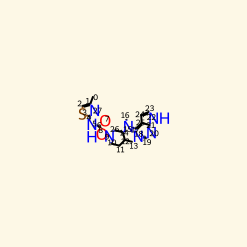 Cc1csc(NC(=O)ON2CCC(C)C(N(C)c3ncnc4[nH]ccc34)C2)n1